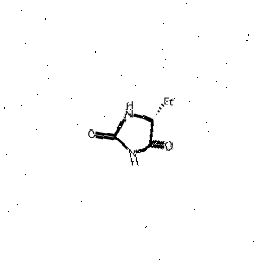 CC[C@H]1NC(=O)NC1=O